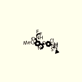 COc1cc2nccc(Oc3ccc(NC(=S)NC4CC4)c(Cl)c3)c2cc1C(=O)NCC(F)F